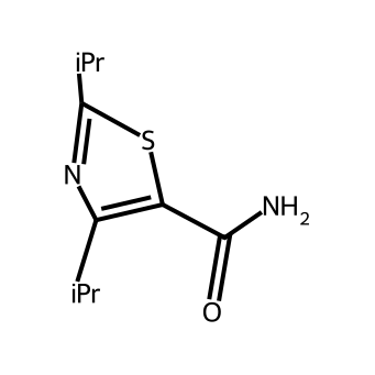 CC(C)c1nc(C(C)C)c(C(N)=O)s1